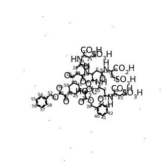 O=C(CC(NC(=O)C(CC(=O)NC(CS(=O)(=O)O)C(=O)O)NC(=O)[C@@H](CC(=O)NC(CS(=O)(=O)O)C(=O)O)C(=O)[C@@H]1C[C@H](C(=O)C(=O)OCc2ccccc2)C[C@H](C(=O)C(=O)OCc2ccccc2)C1)C(=O)O)NC(CS(=O)(=O)O)C(=O)O